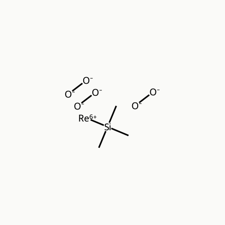 C[Si](C)(C)[Re+6].[O-][O-].[O-][O-].[O-][O-]